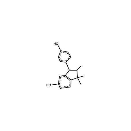 CC1C(c2ccc(O)cc2)c2cc(O)ccc2C1(C)C